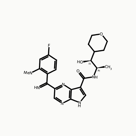 CNc1cc(F)ccc1C(=N)c1cnc2[nH]cc(C(=O)N[C@H](C)[C@@H](O)C3CCOCC3)c2n1